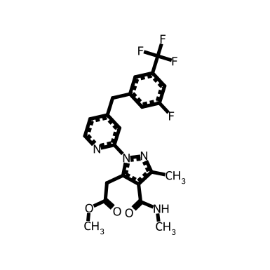 CNC(=O)c1c(C)nn(-c2cc(Cc3cc(F)cc(C(F)(F)F)c3)ccn2)c1CC(=O)OC